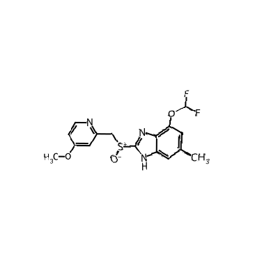 COc1ccnc(C[S+]([O-])c2nc3c(OC(F)F)cc(C)cc3[nH]2)c1